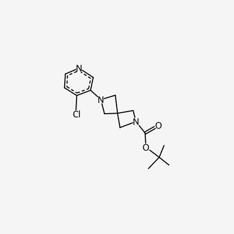 CC(C)(C)OC(=O)N1CC2(C1)CN(c1cnccc1Cl)C2